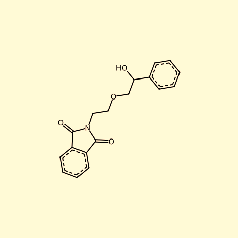 O=C1c2ccccc2C(=O)N1CCOCC(O)c1ccccc1